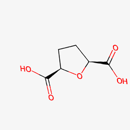 O=C(O)[C@@H]1CC[C@H](C(=O)O)O1